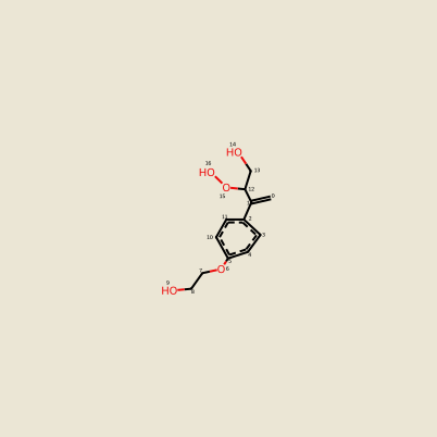 C=C(c1ccc(OCCO)cc1)C(CO)OO